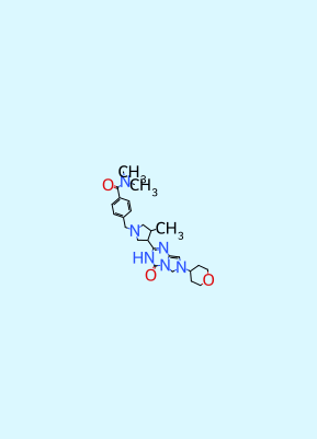 CC1CN(Cc2ccc(C(=O)N(C)C)cc2)CC1C1=NC2=CN(C3CCOCC3)CN2C(=O)N1